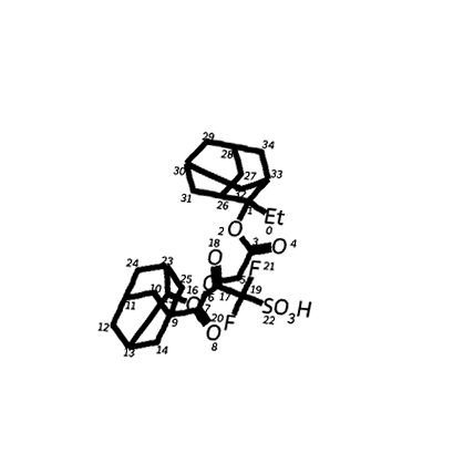 CCC1(OC(=O)COC(=O)C23CC4CC(C2)C(OC(=O)C(F)(F)S(=O)(=O)O)C(C4)C3)C2CC3CC(C2)CC1C3